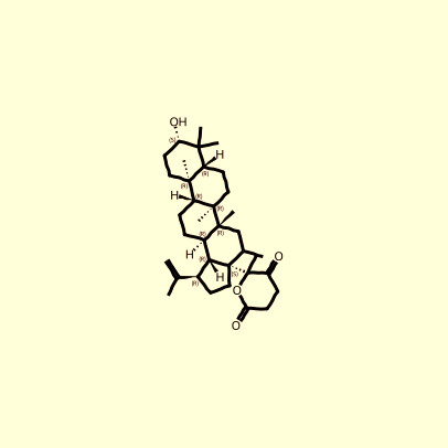 C=C(C)[C@@H]1CC[C@]2(C3(C)OC(=O)CCC3=O)C(C)C[C@]3(C)[C@H](CC[C@@H]4[C@@]5(C)CC[C@H](O)C(C)(C)[C@@H]5CC[C@]43C)[C@@H]12